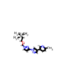 Cc1ccc(-c2cnn(-c3ccn(COCC[Si](C)(C)C)n3)c2)cn1